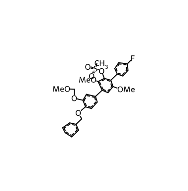 COCOc1cc(-c2cc(OC)c(-c3ccc(F)cc3)c(OS(C)(=O)=O)c2OC)ccc1OCc1ccccc1